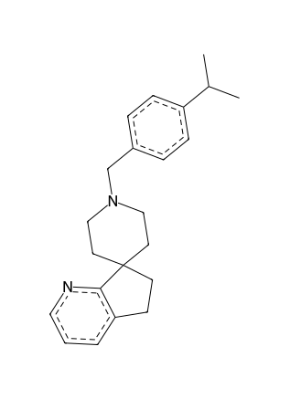 CC(C)c1ccc(CN2CCC3(CCc4cccnc43)CC2)cc1